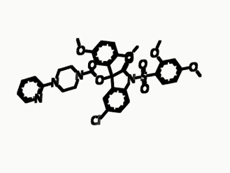 COc1ccc(S(=O)(=O)N2C(=O)C(OC(=O)N3CCN(c4ccccn4)CC3)(c3cc(OC)ccc3OC)c3cc(Cl)ccc32)c(OC)c1